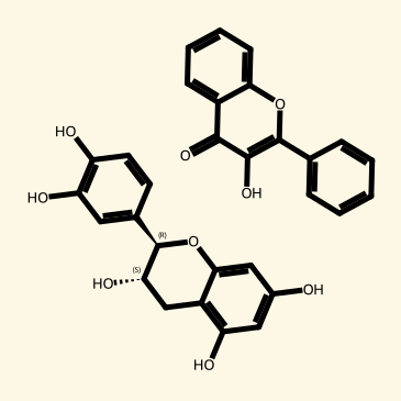 O=c1c(O)c(-c2ccccc2)oc2ccccc12.Oc1cc(O)c2c(c1)O[C@H](c1ccc(O)c(O)c1)[C@@H](O)C2